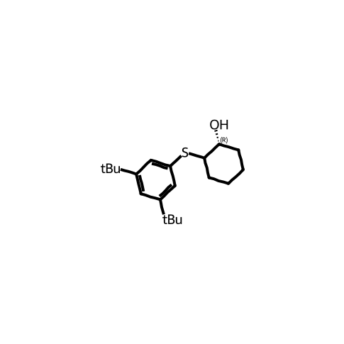 CC(C)(C)c1cc(SC2CCCC[C@H]2O)cc(C(C)(C)C)c1